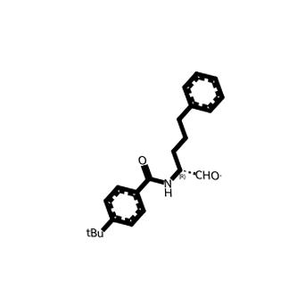 CC(C)(C)c1ccc(C(=O)N[C@@H]([C]=O)CCCc2ccccc2)cc1